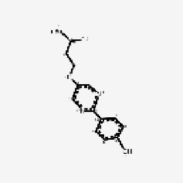 CCCC[C@@H](F)CCOc1cnc(-c2ccc(O)cc2)nc1